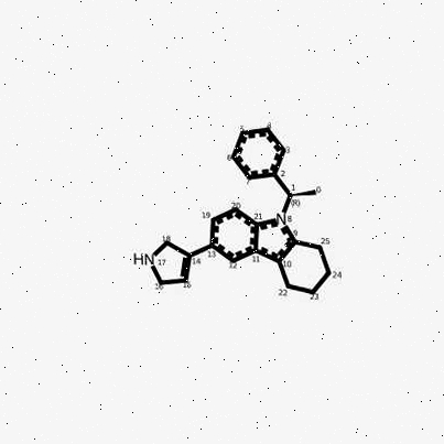 C[C@H](c1ccccc1)n1c2c(c3cc(C4=CCNC4)ccc31)CCCC2